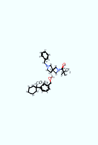 CCOC(=O)C1(c2cccc(COC[C@@H]3CN(Cc4ccccc4)CC34CN(C(=O)C(C)(C)C(F)(F)F)C4)c2)CCCCC1